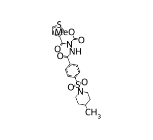 COC(=O)N(NC(=O)c1ccc(S(=O)(=O)N2CCC(C)CC2)cc1)C(=O)c1ccsc1